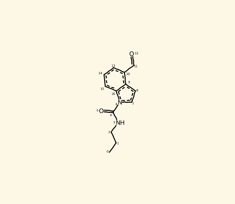 CCCNC(=O)n1ccc2c(C=O)cccc21